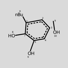 CCCCc1cccc(O)c1O.CO